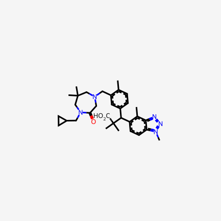 Cc1ccc(C(c2ccc3c(nnn3C)c2C)C(C)(C)C(=O)O)cc1CN1CC(=O)N(CC2CC2)CC(C)(C)C1